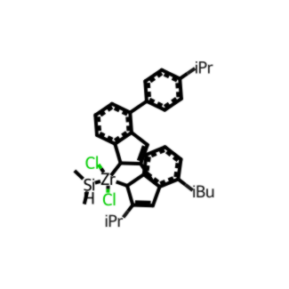 CCC(C)c1cccc2c1C=C(C(C)C)[CH]2[Zr]([Cl])([Cl])([CH]1C(C)=Cc2c(-c3ccc(C(C)C)cc3)cccc21)[SiH](C)C